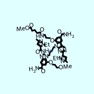 CCn1nc(C)cc1C(=O)Nc1nc2cc(C(N)=O)cc(OCCCOC)c2n1C/C=C/Cn1c2nc(-c3cc(C)nn3CC)ncc2c2cc(C(N)=O)cc(OCCCNC(=O)CCCC(=O)OC)c21